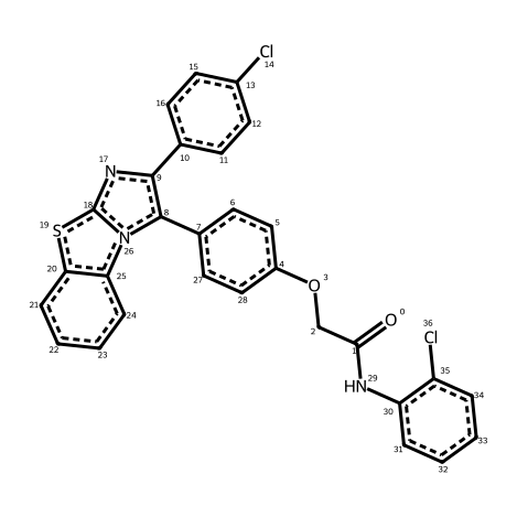 O=C(COc1ccc(-c2c(-c3ccc(Cl)cc3)nc3sc4ccccc4n23)cc1)Nc1ccccc1Cl